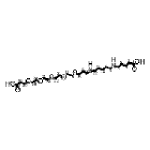 O=C(O)CCCCNCCCCCNCCCOCCOCCOCCOCCOCCC(=O)O